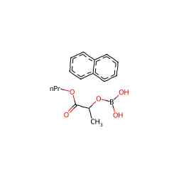 CCCOC(=O)C(C)OB(O)O.c1ccc2ccccc2c1